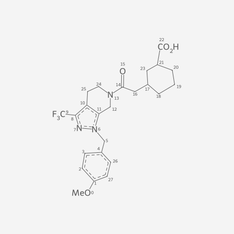 COc1ccc(Cn2nc(C(F)(F)F)c3c2CN(C(=O)CC2CCCC(C(=O)O)C2)CC3)cc1